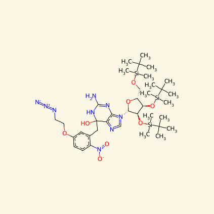 CC(C)(C)[Si](C)(C)OC[C@H]1O[C@@H](n2cnc3c2N=C(N)NC3(O)Cc2cc(OCCN=[N+]=[N-])ccc2[N+](=O)[O-])[C@H](O[Si](C)(C)C(C)(C)C)[C@@H]1O[Si](C)(C)C(C)(C)C